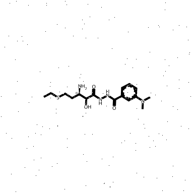 CCSCC[C@@H](N)C(O)C(=O)NNC(=O)c1cccc(N(C)C)c1